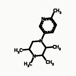 Cc1ccc(N2CC(C)N(C)C(C)C2C)cn1